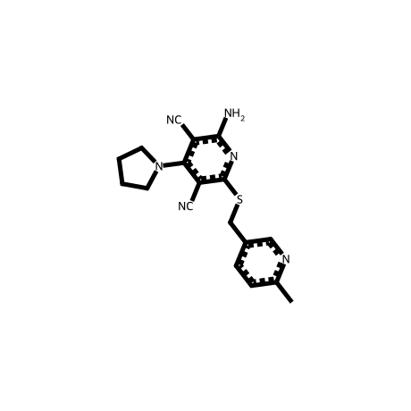 Cc1ccc(CSc2nc(N)c(C#N)c(N3CCCC3)c2C#N)cn1